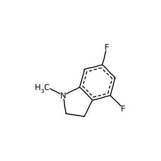 CN1CCc2c(F)cc(F)cc21